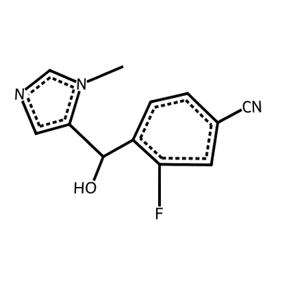 Cn1cncc1C(O)c1ccc(C#N)cc1F